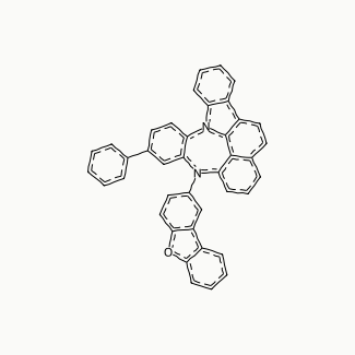 c1ccc(-c2ccc3c(c2)n(-c2ccc4oc5ccccc5c4c2)c2cccc4ccc5c6ccccc6n3c5c42)cc1